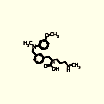 CNCCC[C@H](Cc1cccc(CN(C)c2cccc(OC)c2)c1)C(=O)O